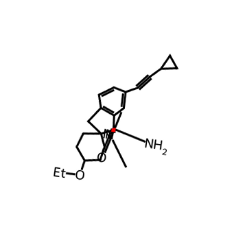 CCOC1CCC2(CC1)Cc1ccc(C#CC3CC3)cc1C21N=C(N)N(C)C1=O